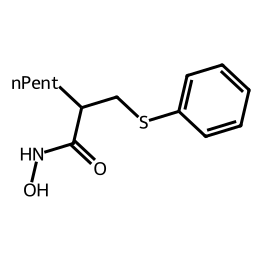 CCCCCC(CSc1ccccc1)C(=O)NO